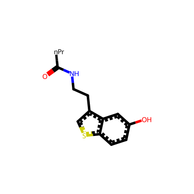 CCCC(=O)NCCc1csc2ccc(O)cc12